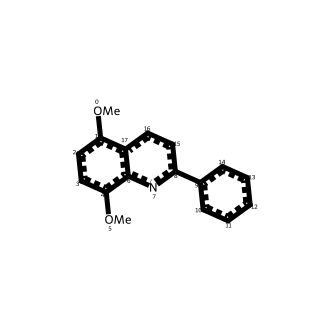 COc1ccc(OC)c2nc(-c3ccccc3)ccc12